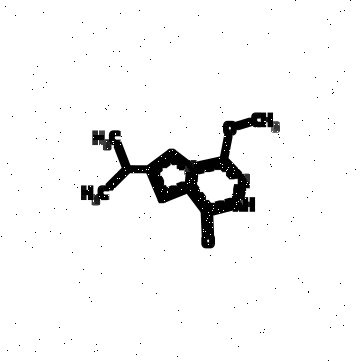 COc1n[nH]c(=O)c2cc(C(C)C)cn12